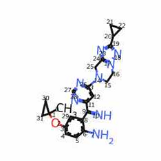 CC1(Oc2ccc(N)c(C(=N)c3cc(N4CCn5nc(C6CC6)nc5C4)ncn3)c2)CC1